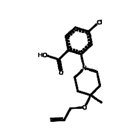 C=CCOC1(C)CCN(c2cc(Cl)ccc2C(=O)O)CC1